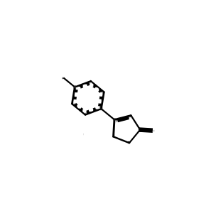 Cl.O=C1C=C(c2ccc(Cl)cc2)CC1